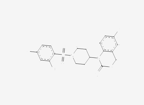 Cc1ccc(S(=O)(=O)N2CCC(N3C(=O)OCc4cc(Br)ccc43)CC2)c(C)c1